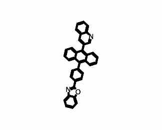 c1ccc2ncc(-c3c4ccccc4c(-c4ccc(-c5nc6ccccc6o5)cc4)c4ccccc34)cc2c1